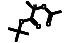 CC(=O)O[C@H](C)C(=O)OC(C)(C)C